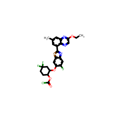 CCOc1cnc2c(-c3nc4cc(F)c(OC5CC(F)(F)CCC5OC(=O)Cl)cc4s3)cc(C)cc2n1